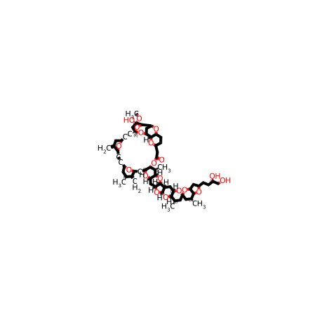 C=C1CC2CC[C@]34C[C@@](O)(OC)C(O3)C3CC(O4)[C@H]4OC(CCC4O3)CC(=O)OC3[C@H](CC4OC(CCC1O2)C[C@@H](C)C4=C)O[C@H]1C[C@H]2O[C@@H]4O[C@@H]5[C@H](C[C@H]4[C@H]2O[C@H]1[C@@H]3C)OC1(C[C@H](C)C2OC(CC[C@@H](O)CO)CC2O1)C[C@@H]5C